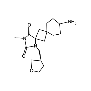 CN1C(=O)N(C[C@H]2CCOC2)C2(CC3(CCC(N)CC3)C2)C1=O